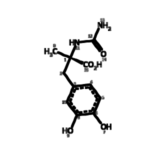 C[C@@](Cc1ccc(O)c(O)c1)(NC(N)=O)C(=O)O